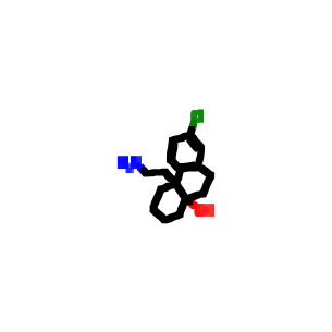 NCCC12CCCCC1(O)CCc1cc(Cl)ccc12